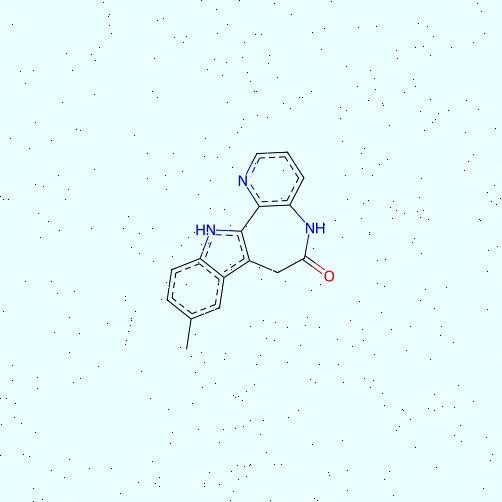 Cc1ccc2[nH]c3c(c2c1)CC(=O)Nc1cccnc1-3